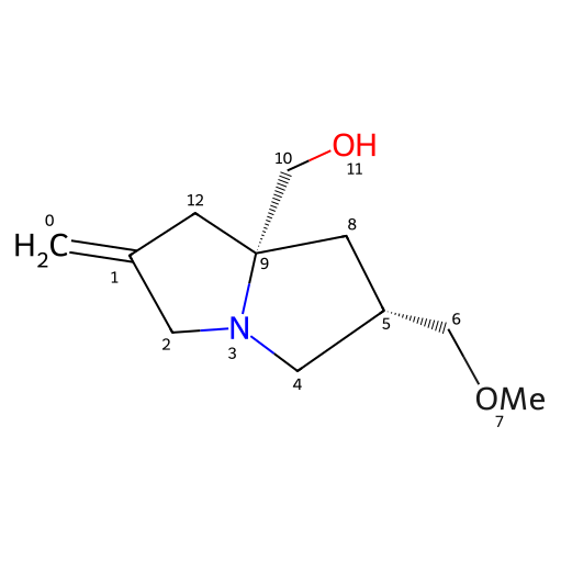 C=C1CN2C[C@@H](COC)C[C@]2(CO)C1